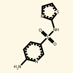 Nc1ccc(S(=O)(=O)Nc2nccs2)cn1